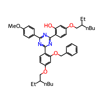 CCCCC(CC)COc1ccc(-c2nc(-c3ccc(OC)cc3)nc(-c3ccc(OCC(CC)CCCC)cc3OCc3ccccc3)n2)c(O)c1